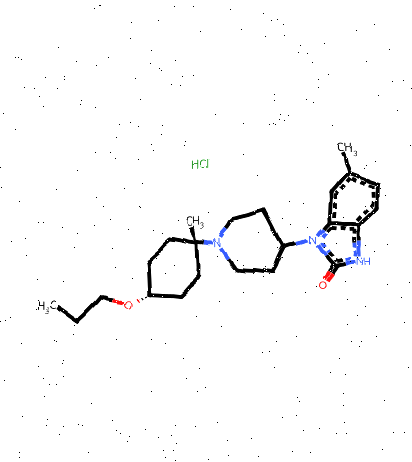 CCCO[C@H]1CC[C@@](C)(N2CCC(n3c(=O)[nH]c4ccc(C)cc43)CC2)CC1.Cl